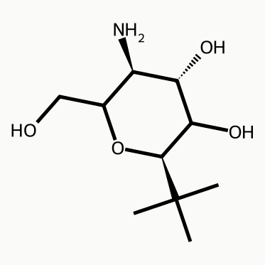 CC(C)(C)[C@H]1OC(CO)[C@@H](N)[C@H](O)C1O